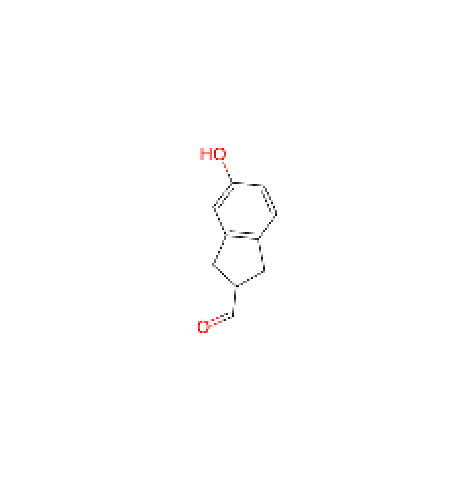 O=CC1Cc2ccc(O)cc2C1